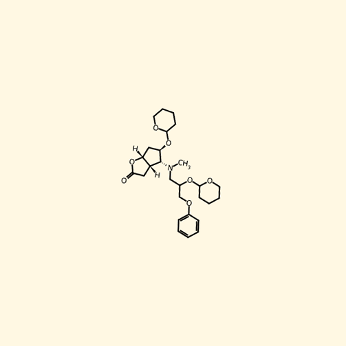 CN(CC(COc1ccccc1)OC1CCCCO1)[C@@H]1[C@@H]2CC(=O)O[C@@H]2C[C@H]1OC1CCCCO1